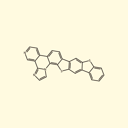 c1ccc2c(c1)sc1cc3c(cc12)sc1c3ccc2c3ccncc3c3nccn3c21